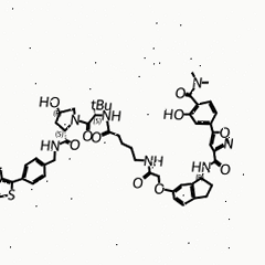 Cc1ncsc1-c1ccc(CNC(=O)[C@@H]2C[C@@H](O)CN2C(=O)[C@@H](NC(=O)CCCCNC(=O)COc2ccc3c(c2)[C@H](NC(=O)c2cc(-c4ccc(C(=O)N(C)C)c(O)c4)on2)CC3)C(C)(C)C)cc1